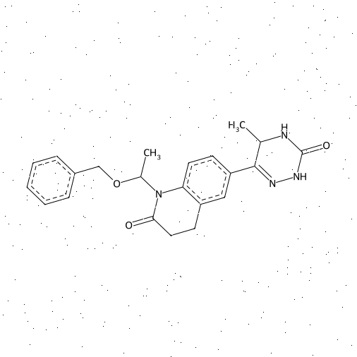 CC1NC(=O)NN=C1c1ccc2c(c1)CCC(=O)N2C(C)OCc1ccccc1